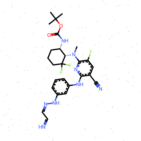 CN(c1nc(Nc2cccc(N/N=C\C=N)c2)c(C#N)cc1F)[C@H]1[C@@H](NC(=O)OC(C)(C)C)CCCC1(F)F